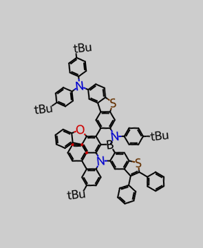 CC(C)(C)c1ccc(N2B3c4cc5sc(-c6ccccc6)c(-c6ccccc6)c5cc4N(c4ccc(C(C)(C)C)cc4-c4ccccc4)c4cc5c(oc6ccccc65)c(c43)-c3cc4c(cc32)sc2ccc(N(c3ccc(C(C)(C)C)cc3)c3ccc(C(C)(C)C)cc3)cc24)cc1